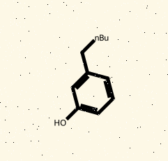 CCCCCc1[c]ccc(O)c1